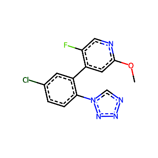 COc1cc(-c2cc(Cl)ccc2-n2cnnn2)c(F)cn1